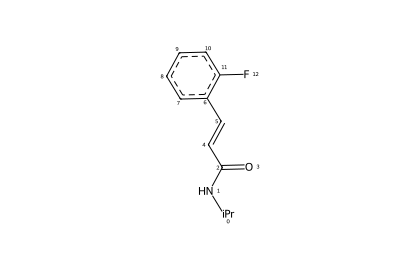 CC(C)NC(=O)/C=C/c1ccccc1F